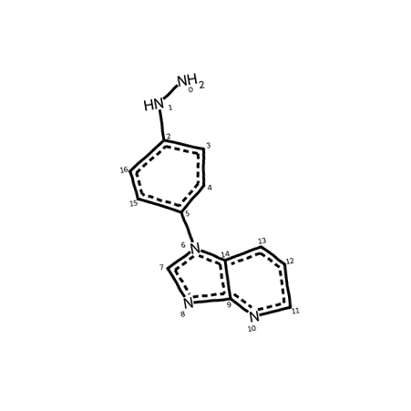 NNc1ccc(-n2cnc3ncccc32)cc1